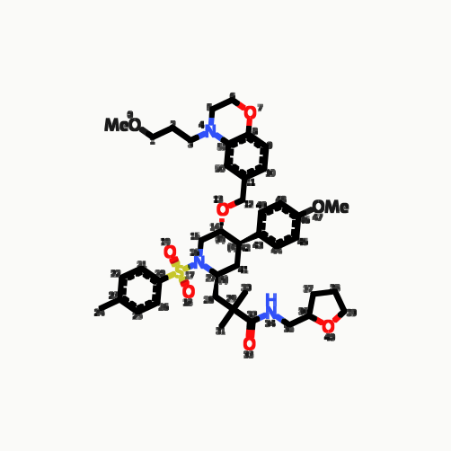 COCCCN1CCOc2ccc(CO[C@H]3CN(S(=O)(=O)c4ccc(C)cc4)[C@H](CC(C)(C)C(=O)NCC4CCCO4)C[C@@H]3c3ccc(OC)cc3)cc21